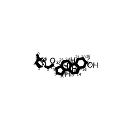 Cc1ccn(CC(=O)[C@H]2CC[C@H]3[C@@H]4CC=C5C[C@](C)(O)CC[C@@H]5[C@H]4CC[C@]23C)n1